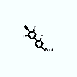 C#Cc1c(F)cc(-c2ccc(CCCCC)cc2F)cc1F